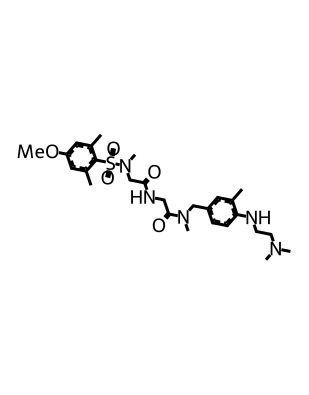 COc1cc(C)c(S(=O)(=O)N(C)CC(=O)NCC(=O)N(C)Cc2ccc(NCCN(C)C)c(C)c2)c(C)c1